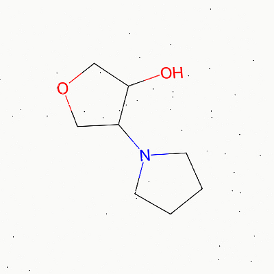 OC1COCC1N1CCCC1